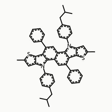 Cc1cc2c(s1)c1c(-c3ccccc3)cc3c(cc(-c4ccccc4)c4c5sc(C)cc5n(-c5ccc(CC(C)C)cc5)c34)c1n2-c1ccc(CC(C)C)cc1